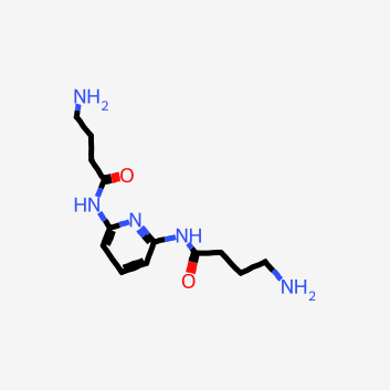 NCCCC(=O)Nc1cccc(NC(=O)CCCN)n1